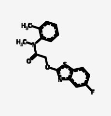 Cc1ccccc1N(C)C(=O)COc1nc2cc(F)ccc2s1